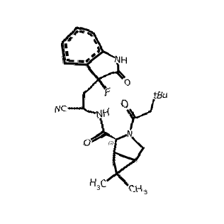 CC(C)(C)CC(=O)N1CC2C([C@H]1C(=O)NC(C#N)CC1(F)C(=O)Nc3ccccc31)C2(C)C